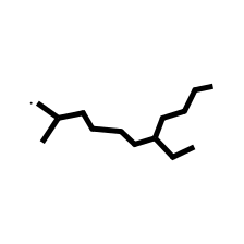 [CH2]C(C)CCCCC(CC)CCCC